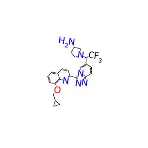 N[C@H]1CCN([C@H](c2ccc3nnc(-c4ccc5cccc(OCC6CC6)c5n4)n3c2)C(F)(F)F)C1